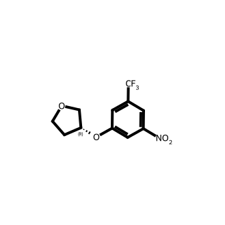 O=[N+]([O-])c1cc(O[C@@H]2CCOC2)cc(C(F)(F)F)c1